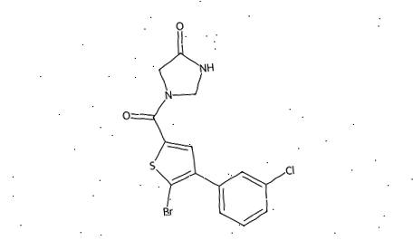 O=C1CN(C(=O)c2cc(-c3cccc(Cl)c3)c(Br)s2)CN1